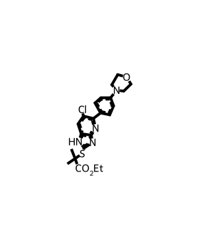 CCOC(=O)C(C)(C)Sc1nc2nc(-c3ccc(N4CCOCC4)cc3)c(Cl)cc2[nH]1